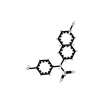 O=[SH](=O)N(c1ccc(Cl)cc1)c1ccc2c[n+]([O-])ccc2c1